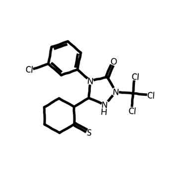 O=C1N(c2cccc(Cl)c2)C(C2CCCCC2=S)NN1C(Cl)(Cl)Cl